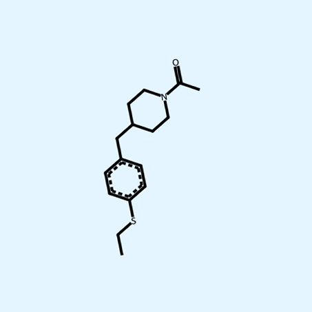 CCSc1ccc(CC2CCN(C(C)=O)CC2)cc1